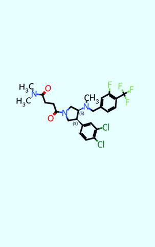 CN(C)C(=O)CCC(=O)N1C[C@H](c2ccc(Cl)c(Cl)c2)[C@H](N(C)Cc2ccc(C(F)(F)F)c(F)c2)C1